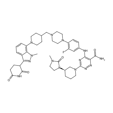 CN1CCN([C@@H]2CCCN(c3nnc(C(N)=O)c(Nc4ccc(N5CCN(CC6CCN(c7cccc8c(C9CCC(=O)NC9=O)nn(C)c78)CC6)CC5)c(F)c4)n3)C2)C1=O